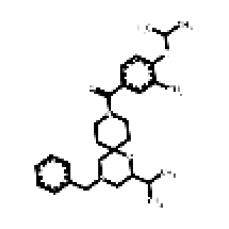 Cc1cc(C(=O)N2CCC3(CC2)CN(Cc2ccccc2)CC(C(C)C)O3)ccc1OC(C)C